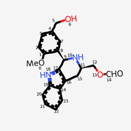 COc1ccc(CO)cc1[C@H]1N[C@@H](COC=O)Cc2c1[nH]c1ccccc21